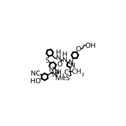 CSCC(C)(C)c1cc(NC(=O)NCc2ccccc2Sc2ccc3nnc(-c4ccc(O)c(C#N)c4)n3c2)n(-c2ccc(OCCO)cc2)n1